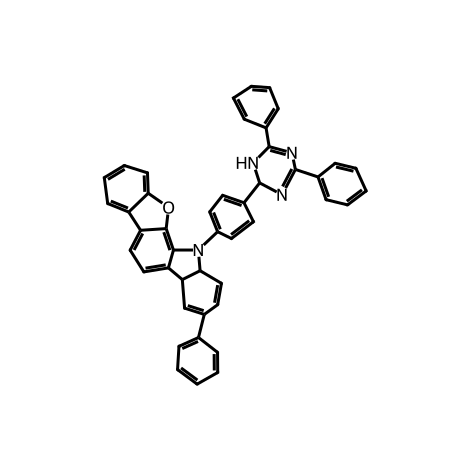 C1=CC2C(C=C1c1ccccc1)c1ccc3c(oc4ccccc43)c1N2c1ccc(C2N=C(c3ccccc3)N=C(c3ccccc3)N2)cc1